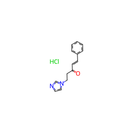 Cl.O=C(/C=C/c1ccccc1)CCn1ccnc1